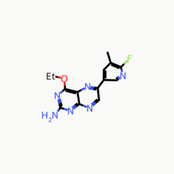 CCOc1nc(N)nc2ncc(-c3cnc(F)c(C)c3)nc12